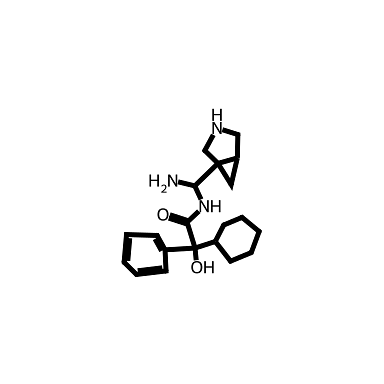 NC(NC(=O)C(O)(c1ccccc1)C1CCCCC1)C12CNCC1C2